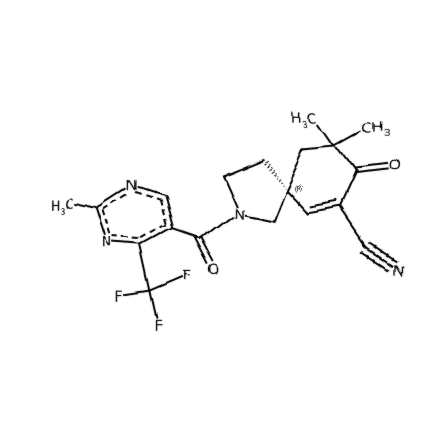 Cc1ncc(C(=O)N2CC[C@]3(C=C(C#N)C(=O)C(C)(C)C3)C2)c(C(F)(F)F)n1